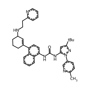 Cc1ccc(-n2nc(C(C)(C)C)cc2NC(=O)Nc2ccc(C3=CC(NCCc4ccccn4)CCC3)c3ccccc23)cn1